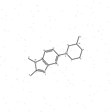 Cc1nc2nc(N3CCCC(C)C3)ccc2n1C